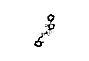 O=C(NCCc1ccccc1F)O[C@@]1(O)CCN(c2ccccc2)C1=O